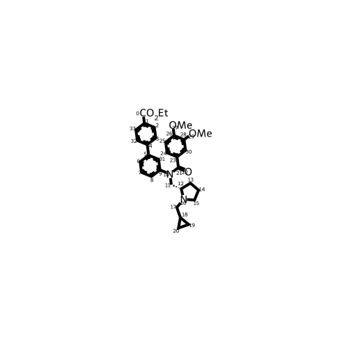 CCOC(=O)c1ccc(-c2cccc(N(C[C@@H]3CCCN3CC3CC3)C(=O)c3ccc(OC)c(OC)c3)c2)cc1